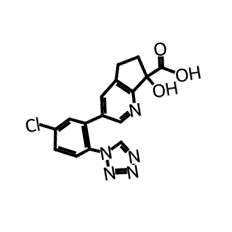 O=C(O)C1(O)CCc2cc(-c3cc(Cl)ccc3-n3cnnn3)cnc21